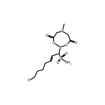 CN1CC(=O)OB(C(C=CCCCCCl)S(N)(=O)=O)OC(=O)C1